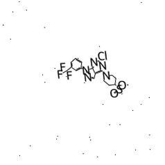 CS(=O)(=O)C1CCN(c2nc(Cl)nc3c2cnn3-c2cccc(C(F)(F)F)c2)CC1